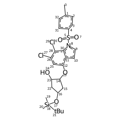 Cc1ccc(S(=O)(=O)n2ccc3c(OC4CC(O[Si](C)(C)C(C)(C)C)CC4O)cc(Cl)c(Cl)c32)cc1